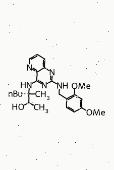 CCCC[C@@](C)(Nc1nc(NCc2ccc(OC)cc2OC)nc2cccnc12)[C@@H](C)O